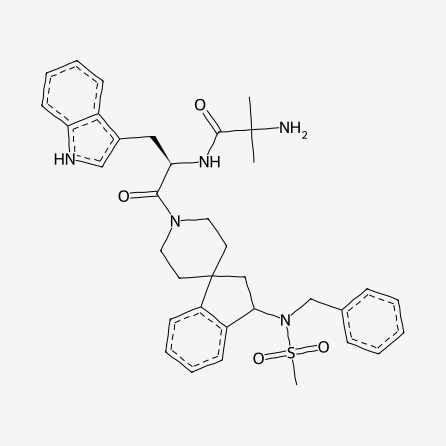 CC(C)(N)C(=O)N[C@H](Cc1c[nH]c2ccccc12)C(=O)N1CCC2(CC1)CC(N(Cc1ccccc1)S(C)(=O)=O)c1ccccc12